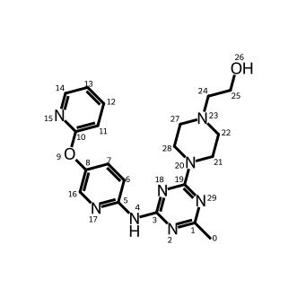 Cc1nc(Nc2ccc(Oc3ccccn3)cn2)nc(N2CCN(CCO)CC2)n1